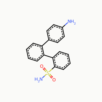 Nc1ccc(-c2ccccc2-c2ccccc2S(N)(=O)=O)cc1